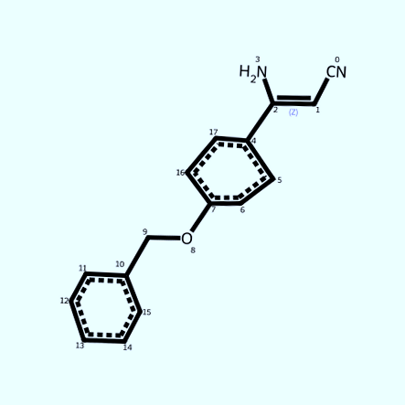 N#C/C=C(\N)c1ccc(OCc2ccccc2)cc1